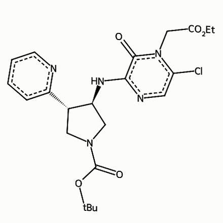 CCOC(=O)Cn1c(Cl)cnc(N[C@H]2CN(C(=O)OC(C)(C)C)C[C@@H]2c2ccccn2)c1=O